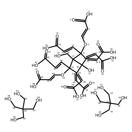 O=C(O)C=COC(C=CC(=O)O)(C=CC(=O)O)C(CO)(C(O)(C=CC(=O)O)C=CC(=O)O)C(C=CC(=O)O)(C=CC(=O)O)OC=CC(=O)O.OCC(CO)(CO)CO.OCC(CO)(CO)CO